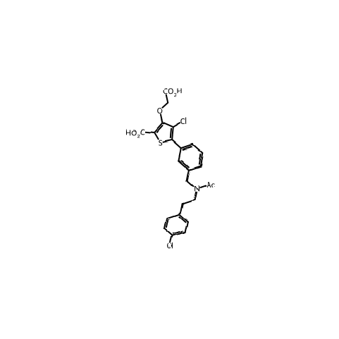 CC(=O)N(CCc1ccc(Cl)cc1)Cc1cccc(-c2sc(C(=O)O)c(OCC(=O)O)c2Cl)c1